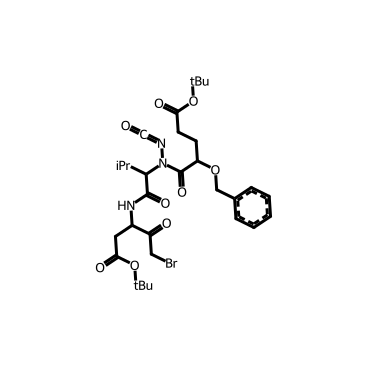 CC(C)C(C(=O)NC(CC(=O)OC(C)(C)C)C(=O)CBr)N(N=C=O)C(=O)C(CCC(=O)OC(C)(C)C)OCc1ccccc1